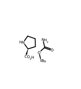 CC(C)(C)OC(N)=O.O=C(O)[C@@H]1CCCN1